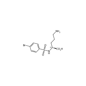 NCCC[C@H](NS(=O)(=O)c1ccc(Br)cc1)C(=O)O